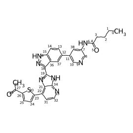 CCCCC(=O)Nc1cncc(-c2ccc3[nH]nc(-c4nc5c(-c6ccc(C(C)=O)s6)ccnc5[nH]4)c3c2)c1